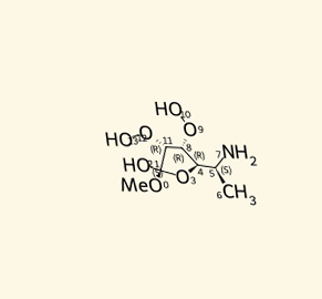 CO[C@]1(O)O[C@H]([C@H](C)N)[C@@H](OO)[C@H]1OO